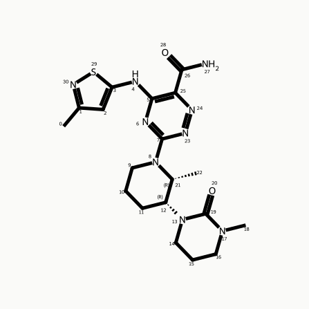 Cc1cc(Nc2nc(N3CCC[C@@H](N4CCCN(C)C4=O)[C@H]3C)nnc2C(N)=O)sn1